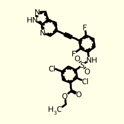 CCOC(=O)c1cc(Cl)cc(S(=O)(=O)Nc2ccc(F)c(C#Cc3cnc4[nH]ncc4c3)c2F)c1Cl